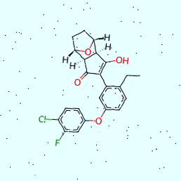 CCc1ccc(Oc2ccc(Cl)c(F)c2)cc1C1=C(O)[C@H]2[C@@H](C1=O)[C@@H]1CC[C@H]2O1